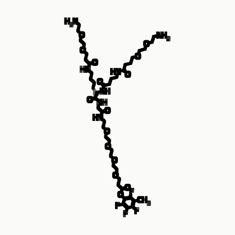 Cc1c(F)c(F)c(F)c(OC(=O)CCOCCOCCOCCOCCNC(=O)CNC(=O)[C@H](CCCCNC(=O)CCOCCOCCN)NC(=O)CCCNC(=O)CCCOCCOCCN)c1F